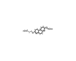 CCCCCCCCCCCCOc1ccc2c(ccc3nc(OCCCCCCCCCC)ccc32)n1